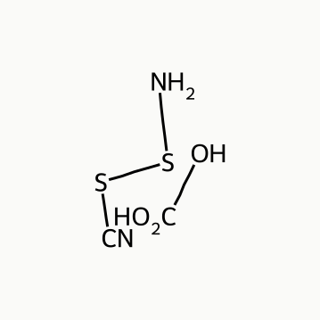 N#CSSN.O=C(O)O